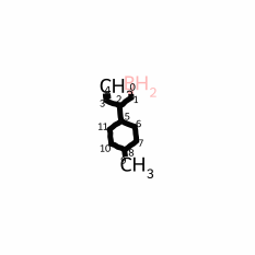 BCC(C=C)C1CCC(C)CC1